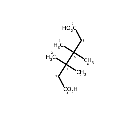 CC(C)(CC(=O)O)C(C)(C)CC(=O)O